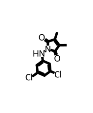 CC1=C(C)C(=O)N(Nc2cc(Cl)cc(Cl)c2)C1=O